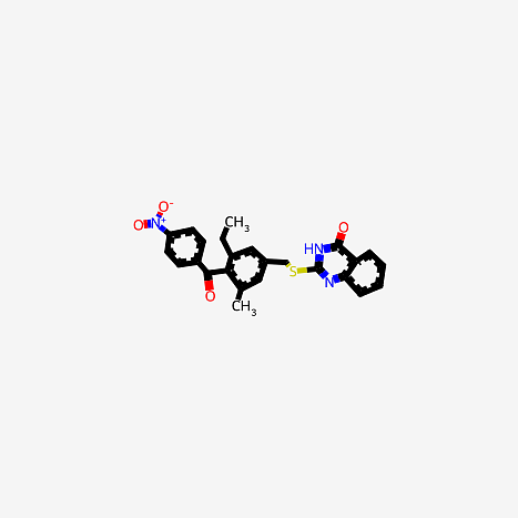 CCc1cc(CSc2nc3ccccc3c(=O)[nH]2)cc(C)c1C(=O)c1ccc([N+](=O)[O-])cc1